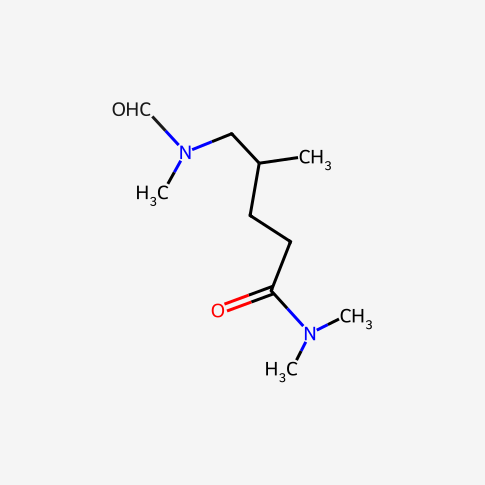 CC(CCC(=O)N(C)C)CN(C)C=O